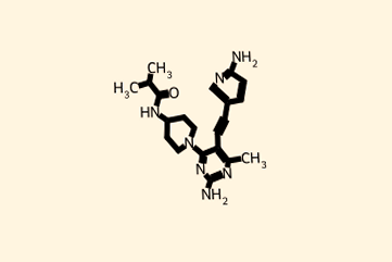 Cc1nc(N)nc(N2CCC(NC(=O)C(C)C)CC2)c1C#Cc1ccc(N)nc1